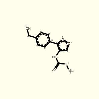 CC(C)(C)OC(=O)Nc1conc1-c1ccc(CO)cc1